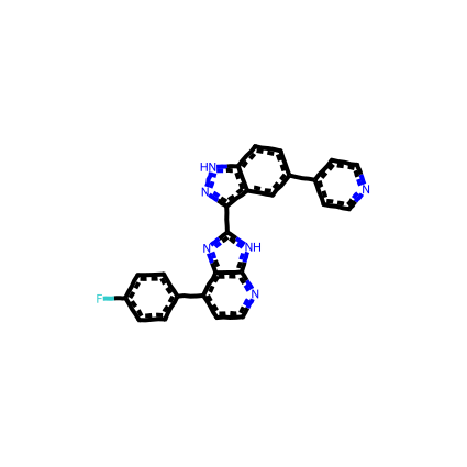 Fc1ccc(-c2ccnc3[nH]c(-c4n[nH]c5ccc(-c6ccncc6)cc45)nc23)cc1